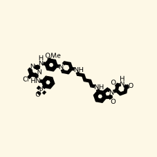 COc1cc(N2CCC(NCCCCCNc3cccc4c3CN(C3CCC(=O)NC3=O)C4=O)CC2)ccc1Nc1ncc(Cl)c(Nc2ccccc2P(C)(C)=O)n1